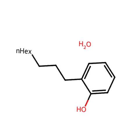 CCCCCCCCCc1ccccc1O.O